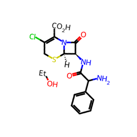 CCO.NC(C(=O)N[C@@H]1C(=O)N2C(C(=O)O)=C(Cl)CS[C@H]12)c1ccccc1